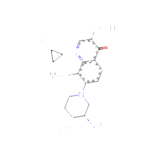 CCC[C@@H]1CCN(c2ccc3c(=O)c(C(=O)O)cn([C@@H]4C[C@@H]4F)c3c2OC)C[C@H]1N